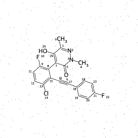 Cc1nn(C)c(=O)c(-c2c(F)ccc(Cl)c2C#Cc2ccc(F)cc2)c1O